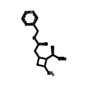 CNC(=O)C1C(C)CC1CC(=O)OCc1ccccc1